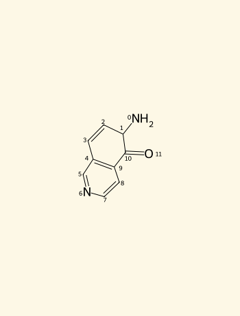 NC1C=Cc2cnccc2C1=O